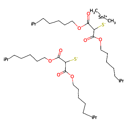 CC(C)CCCCCOC(=O)C([S-])C(=O)OCCCCCC(C)C.CC(C)CCCCCOC(=O)C([S-])C(=O)OCCCCCC(C)C.[CH3][Sn+2][CH3]